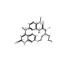 CCCN(CCC)[C@@H](C)C(=O)Nc1cc(N(C)c2cc(=O)oc3ccccc23)ccc1OC